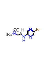 CC(C)(C)N(CCNc1cnc(Br)cn1)C(=O)O